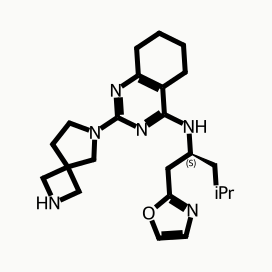 CC(C)C[C@@H](Cc1ncco1)Nc1nc(N2CCC3(CNC3)C2)nc2c1CCCC2